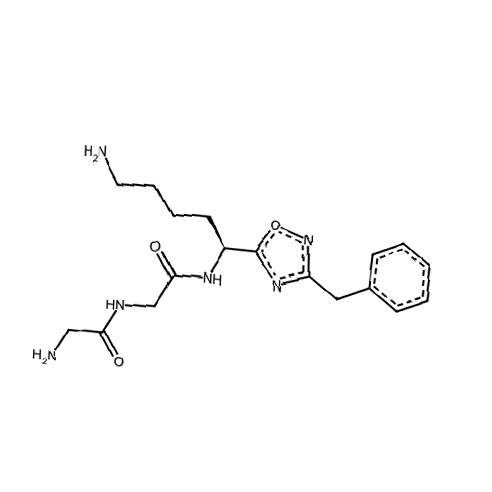 NCCCC[C@H](NC(=O)CNC(=O)CN)c1nc(Cc2ccccc2)no1